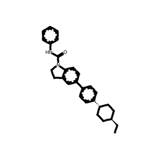 CC[C@H]1CC[C@H](c2ccc(-c3ccc4c(c3)CCN4C(=O)Nc3ccccc3)cc2)CC1